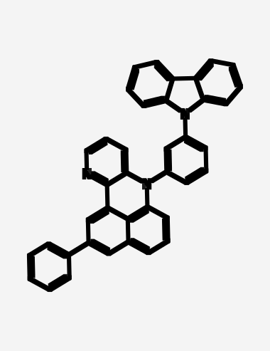 c1ccc(-c2cc3c4c(cccc4c2)N(c2cccc(-n4c5ccccc5c5ccccc54)c2)c2cccnc2-3)cc1